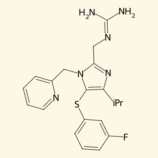 CC(C)c1nc(CN=C(N)N)n(Cc2ccccn2)c1Sc1cccc(F)c1